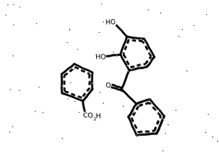 O=C(O)c1ccccc1.O=C(c1ccccc1)c1cccc(O)c1O